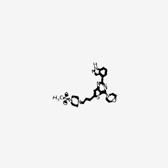 CS(=O)(=O)N1CCN(CCCc2cc3nc(-c4cccc5[nH]ncc45)nc(N4CCOCC4)c3s2)CC1